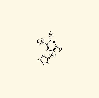 CC(=O)c1cc(Cl)c(NC2CCCC2)cc1[N+](=O)[O-]